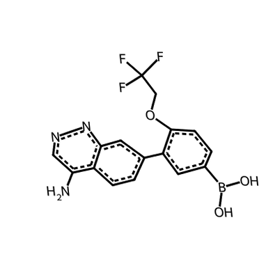 Nc1cnnc2cc(-c3cc(B(O)O)ccc3OCC(F)(F)F)ccc12